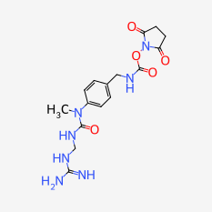 CN(C(=O)NCNC(=N)N)c1ccc(CNC(=O)ON2C(=O)CCC2=O)cc1